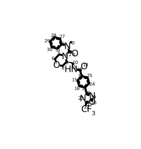 CN(C(=O)N1CCOC[C@@H]1CNC(=O)c1ccc(-c2noc(C(F)(F)F)n2)cc1)c1ccccc1